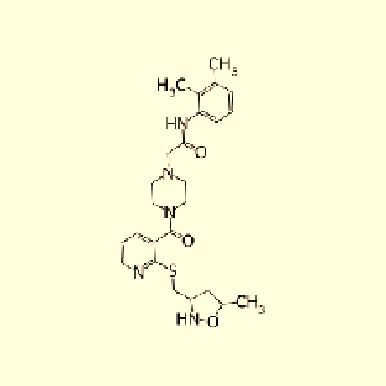 Cc1cccc(NC(=O)CN2CCN(C(=O)c3cccnc3SCC3CC(C)ON3)CC2)c1C